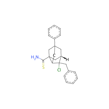 NC(=S)C12C[C@@H]3CC(c4ccccc4)(CC1C3(Cl)Cc1ccccc1)C2